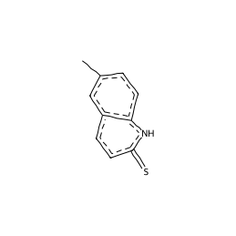 Cc1ccc2[nH]c(=S)ccc2c1